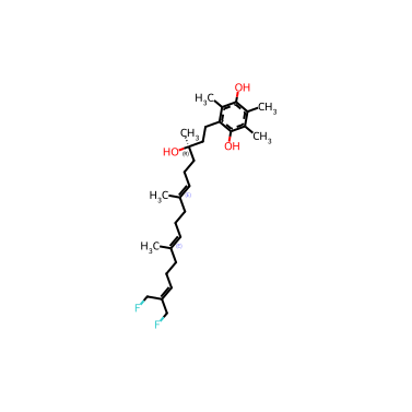 C/C(=C\CC/C(C)=C/CC[C@@](C)(O)CCc1c(C)c(O)c(C)c(C)c1O)CCC=C(CF)CF